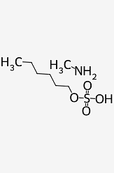 CCCCCCOS(=O)(=O)O.CN